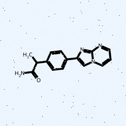 CC(C(N)=O)c1ccc(-c2cn3cccnc3n2)cc1